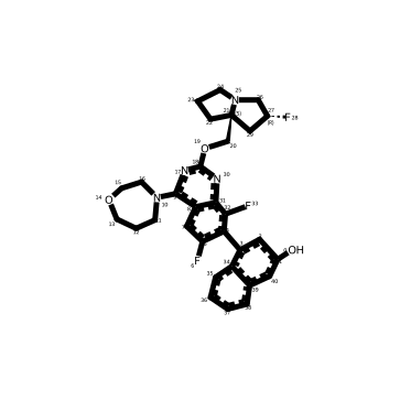 Oc1cc(-c2c(F)cc3c(N4CCCOCC4)nc(OC[C@@]45CCCN4C[C@H](F)C5)nc3c2F)c2ccccc2c1